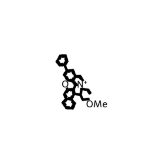 C=CC1C(CCOC)c2c3c(cc4ccccc24)Oc2cc(-c4ccccc4)cc4cc[n+]1c-3c24